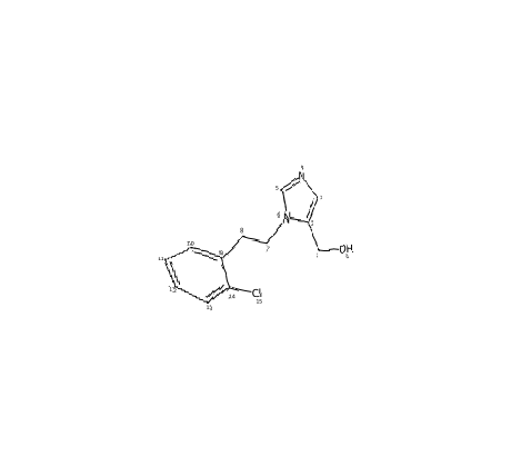 OCc1cncn1CCc1ccccc1Cl